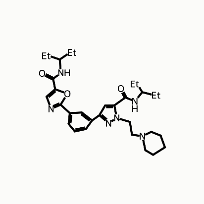 CCC(CC)NC(=O)c1cnc(-c2cccc(-c3cc(C(=O)NC(CC)CC)n(CCN4CCCCC4)n3)c2)o1